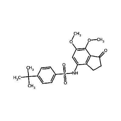 COc1cc(NS(=O)(=O)c2ccc(C(C)(C)C)cc2)c2c(c1OC)C(=O)CC2